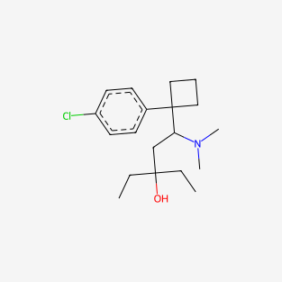 CCC(O)(CC)CC(N(C)C)C1(c2ccc(Cl)cc2)CCC1